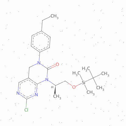 CCc1ccc(N2Cc3cnc(Cl)nc3N([C@H](C)CO[Si](C)(C)C(C)(C)C)C2=O)cc1